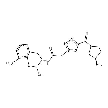 N[C@@H]1CCN(C(=O)c2cn(CC(=O)N[C@H]3Cc4cccc(C(=O)O)c4OB3O)nn2)C1